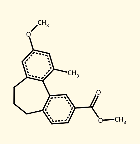 COC(=O)c1ccc2c(c1)-c1c(C)cc(OC)cc1CCC2